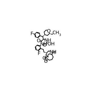 CC[C@H]1C[C@@H](C(c2ccc(F)cc2)C(NC(=O)O)C(=O)Nc2cccc(F)c2CC[C@H]2CN[C@@H]3CCCS(=O)(=O)N2C3)CCO1